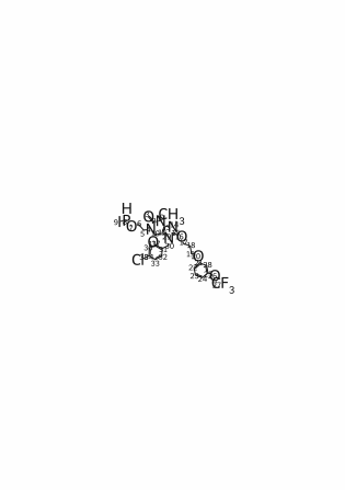 Cn1c(=O)n(CCOPI)c(=O)c2c1nc(OCCCOc1cccc(OC(F)(F)F)c1)n2Cc1ccc(Cl)cc1